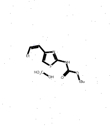 CC/C=C\c1csc(NC(=O)OC(C)(C)C)n1.O=C(O)O